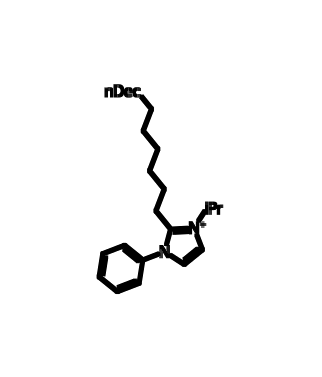 CCCCCCCCCCCCCCCCc1n(-c2ccccc2)cc[n+]1C(C)C